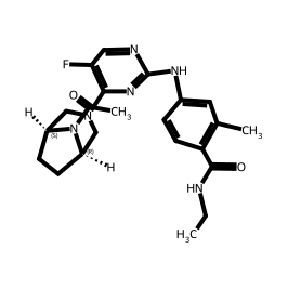 CCNC(=O)c1ccc(Nc2ncc(F)c(N3C[C@H]4CC[C@@H](C3)N4C(C)=O)n2)cc1C